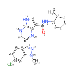 CC1CCCCC1NC(=O)c1c[nH]c2ncc(-c3nn(C)c4cc(Cl)ccc34)nc12